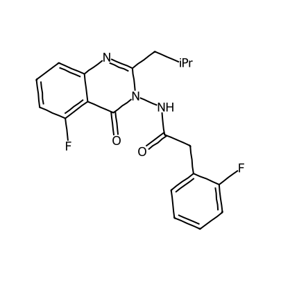 CC(C)Cc1nc2cccc(F)c2c(=O)n1NC(=O)Cc1ccccc1F